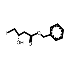 O=C(C[C@H](O)CI)OCc1ccccc1